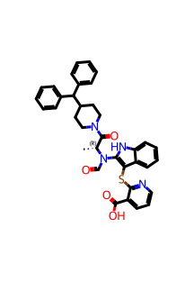 C[C@H](C(=O)N1CCC(C(c2ccccc2)c2ccccc2)CC1)N(C=O)c1[nH]c2ccccc2c1Sc1ncccc1C(=O)O